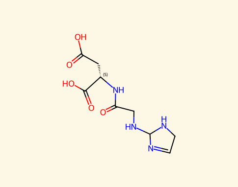 O=C(O)C[C@H](NC(=O)CNC1N=CCN1)C(=O)O